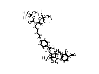 CC(C)(C)OC(=O)N(CCCCOc1ccc(C(=O)NC2C(C)(C)C(Oc3ccc(C#N)c(Cl)c3)C2(C)C)cc1)C(=O)OC(C)(C)C